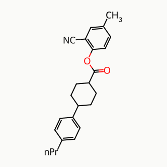 CCCc1ccc(C2CCC(C(=O)Oc3ccc(C)cc3C#N)CC2)cc1